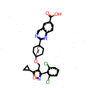 O=C(O)c1ccc2nc(C34CCC(OCc5c(-c6c(Cl)cccc6Cl)noc5C5CC5)(CC3)CC4)ncc2c1